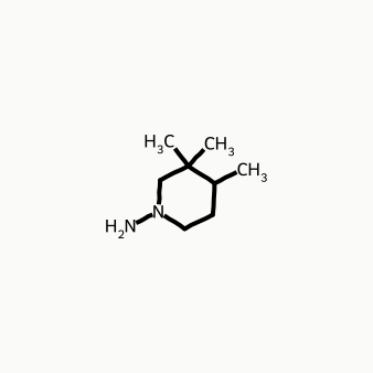 CC1CCN(N)CC1(C)C